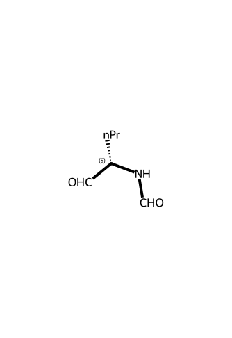 CCC[C@@H](C=O)NC=O